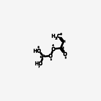 C=CC(=O)OOP(O)O